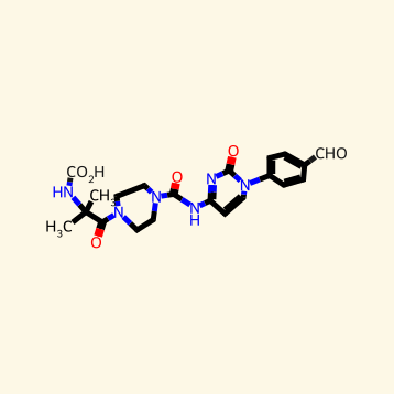 CC(C)(NC(=O)O)C(=O)N1CCN(C(=O)Nc2ccn(-c3ccc(C=O)cc3)c(=O)n2)CC1